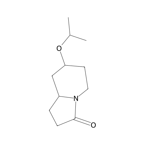 CC(C)OC1CCN2C(=O)CCC2C1